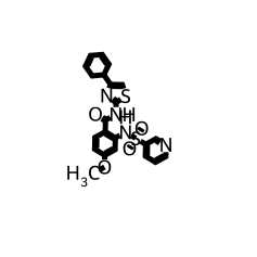 COc1ccc(C(=O)Nc2nc(C3C=CC=CC3)cs2)c(NS(=O)(=O)c2cccnc2)c1